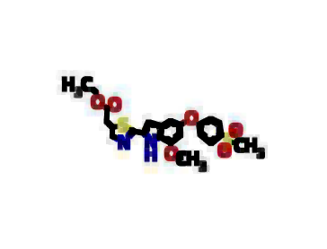 CCOC(=O)CC1CN=C(c2cc3cc(Oc4ccc(S(C)(=O)=O)cc4)cc(OC)c3[nH]2)S1